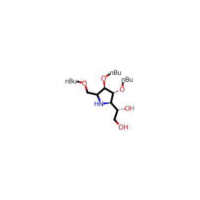 CCCCOCC1N[C@H]([C@H](O)CO)[C@@H](OCCCC)[C@@H]1OCCCC